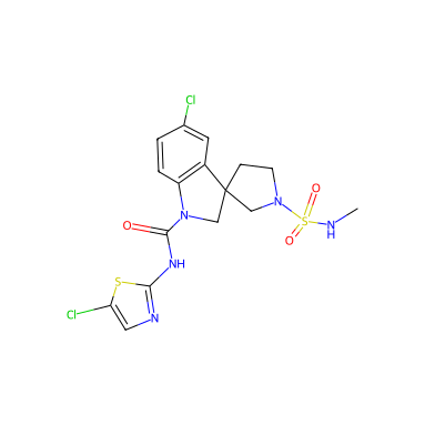 CNS(=O)(=O)N1CCC2(CN(C(=O)Nc3ncc(Cl)s3)c3ccc(Cl)cc32)C1